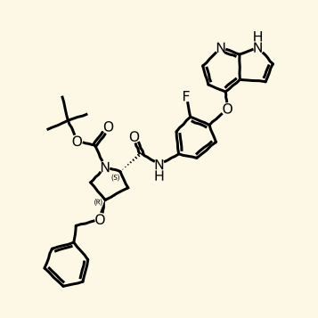 CC(C)(C)OC(=O)N1C[C@H](OCc2ccccc2)C[C@H]1C(=O)Nc1ccc(Oc2ccnc3[nH]ccc23)c(F)c1